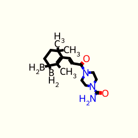 BC1(B)CCC(C)(C)C(/C=C/C(=O)N2CCN(C(N)=O)CC2)=C1C